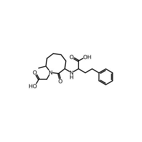 CC1CCCCC(NC(CCc2ccccc2)C(=O)O)C(=O)N1CC(=O)O